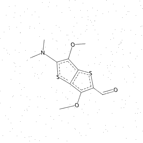 COc1c(C=O)sc2c(OC)c(N(C)C)sc12